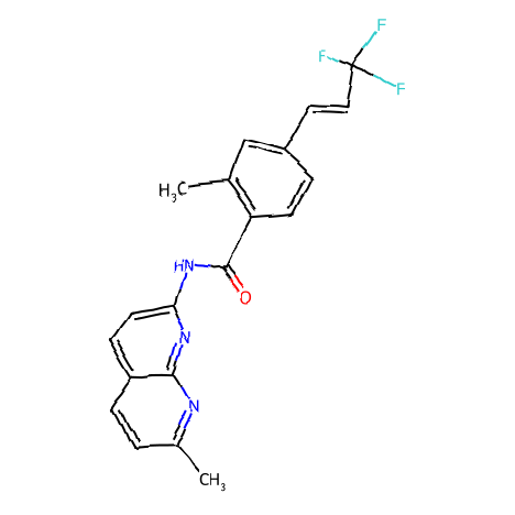 Cc1ccc2ccc(NC(=O)c3ccc(/C=C/C(F)(F)F)cc3C)nc2n1